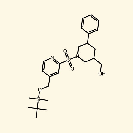 CC(C)(C)[Si](C)(C)OCc1ccnc(S(=O)(=O)N2CC(CO)CC(c3ccccc3)C2)c1